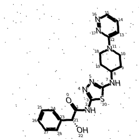 O=C(Nc1nnc(NC2CCN(c3cccnn3)CC2)s1)[C@H](O)c1ccccc1